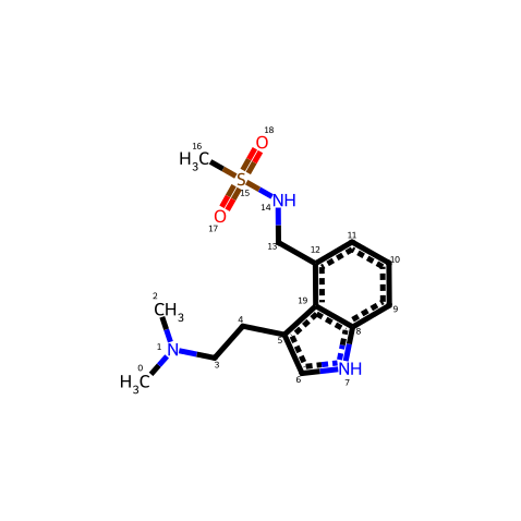 CN(C)CCc1c[nH]c2cccc(CNS(C)(=O)=O)c12